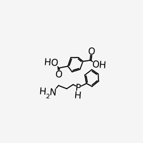 NCCCPc1ccccc1.O=C(O)c1ccc(C(=O)O)cc1